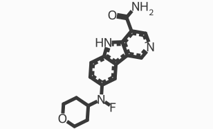 NC(=O)c1cncc2c1[nH]c1ccc(N(F)C3CCOCC3)cc12